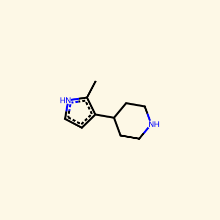 Cc1[nH]ccc1C1CCNCC1